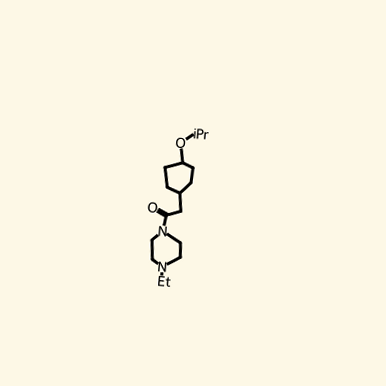 CCN1CCN(C(=O)CC2CCC(OC(C)C)CC2)CC1